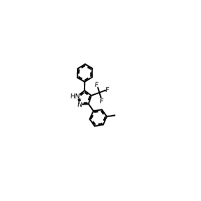 Cc1cccc(-c2n[nH]c(-c3ccccc3)c2C(F)(F)F)c1